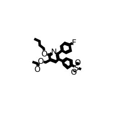 CCCCOc1nc(-c2ccc(F)cc2)c(-c2ccc(S(C)(=O)=O)cc2)cc1COC(C)=O